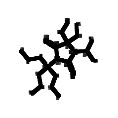 CCC[Si](CCC)(CCC)N1C(=O)N(C(C)C)C(CC)(CC)C1=O